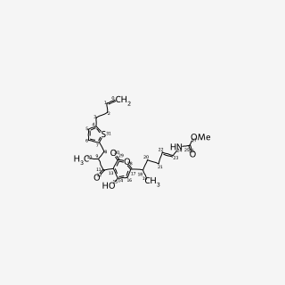 C=CCCc1ccc(CC(C)C(=O)c2c(O)cc(C(C)CC/C=C/NC(=O)OC)oc2=O)s1